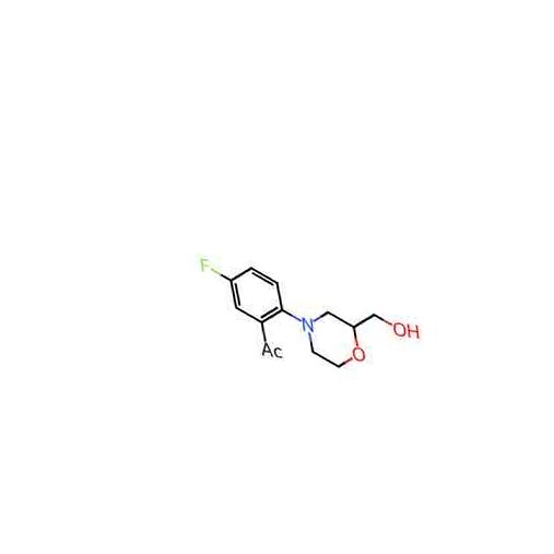 CC(=O)c1cc(F)ccc1N1CCOC(CO)C1